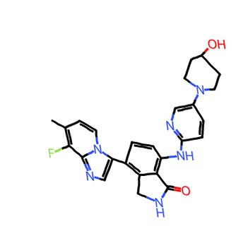 Cc1ccn2c(-c3ccc(Nc4ccc(N5CCC(O)CC5)cn4)c4c3CNC4=O)cnc2c1F